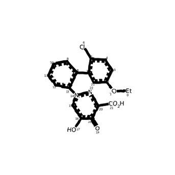 CCOc1ccc(Cl)c(-c2ccccc2-n2cc(O)c(=O)c(C(=O)O)n2)c1